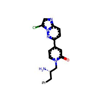 CC(C)C[C@H](N)Cn1ccc(-c2ccc3ncc(Cl)n3n2)cc1=O